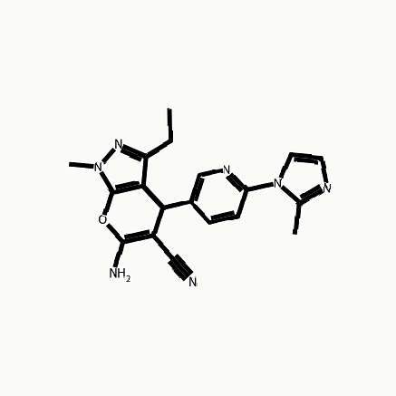 CCc1nn(C)c2c1C(c1ccc(-n3ccnc3C)nc1)C(C#N)=C(N)O2